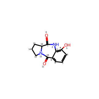 O=C1Nc2c(O)cccc2C(=O)N2CCCC12